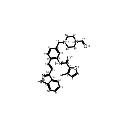 Cc1ccsc1C(=O)Nc1cc(CN2CCN(C=O)CC2)ccc1C=Cc1n[nH]c2ccccc12